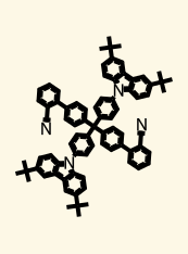 CC(C)(C)c1ccc2c(c1)c1cc(C(C)(C)C)ccc1n2-c1ccc(C(c2ccc(-c3ccccc3C#N)cc2)(c2ccc(-c3ccccc3C#N)cc2)c2ccc(-n3c4ccc(C(C)(C)C)cc4c4cc(C(C)(C)C)ccc43)cc2)cc1